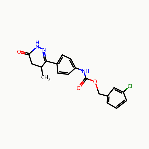 CC1CC(=O)NN=C1c1ccc(NC(=O)OCc2cccc(Cl)c2)cc1